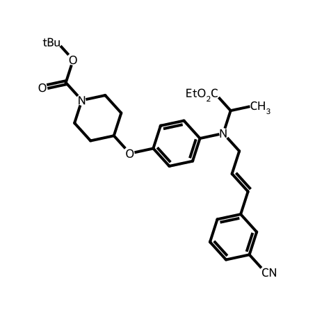 CCOC(=O)C(C)N(C/C=C/c1cccc(C#N)c1)c1ccc(OC2CCN(C(=O)OC(C)(C)C)CC2)cc1